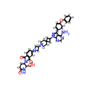 Nc1ncnc2c1c(-c1ccc(Oc3ccccc3)cc1)nn2C1CC2(CCN(C3CN(c4ccc5c(c4)C(=O)N(C4CCC(=O)NC4O)C5=O)C3)CC2)C1